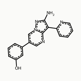 Nc1nn2cc(-c3cccc(O)c3)cnc2c1-c1ccccn1